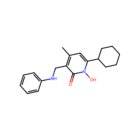 Cc1cc(C2CCCCC2)n(O)c(=O)c1CNc1ccccc1